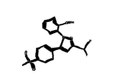 COc1ccccc1-n1nc(C(F)F)cc1-c1ccc(S(C)(=O)=O)cc1